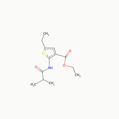 CCOC(=O)c1cc(CC)sc1NC(=O)C(C)C